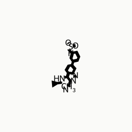 C[C@@H](Nc1c(C#N)nnc2cc(-c3cccc(C[SH](=O)=O)c3)ccc12)C1CC1